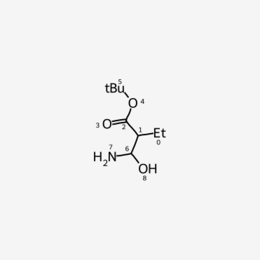 CCC(C(=O)OC(C)(C)C)C(N)O